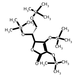 C[Si](C)(C)OC[C@@H](O[Si](C)(C)C)C1OC(=O)C(O[Si](C)(C)C)=C1O[Si](C)(C)C